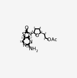 CC(=O)OCC[C@@H]1CC[C@H](n2c(=O)sc3cnc(N)nc32)O1